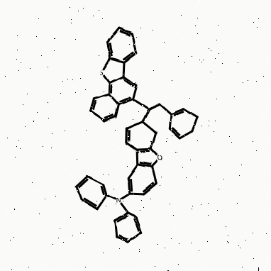 C1=CC(CC(c2cc3c4ccccc4sc3c3ccccc23)C2C=Cc3c(oc4ccc(N(c5ccccc5)c5ccccc5)cc34)C2)=CCC1